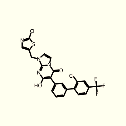 O=c1c(-c2cccc(-c3ccc(C(F)(F)F)cc3Cl)c2)c(O)nc2n(Cc3cnc(Cl)s3)ccn12